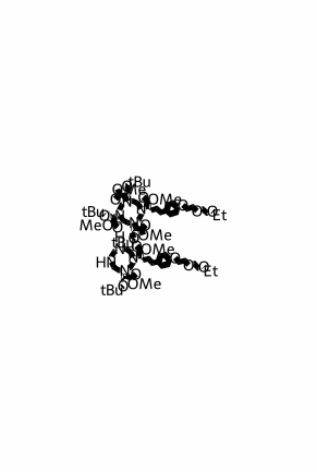 CCOCCOCCOc1ccc(CCC[C@@H](C(=O)OC)N2CCN([C@H](COC(C)(C)C)C(=O)OC)CCN([C@@H](COC(C)(C)C)C(=O)OC)CCN([C@@H](COC(C)(C)C)C(=O)OC)CC2)cc1.CCOCCOCCOc1ccc(CCC[C@@H](C(=O)OC)N2CCNCCNCCN([C@H](COC(C)(C)C)C(=O)OC)CC2)cc1